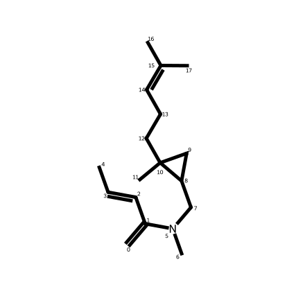 C=C(/C=C/C)N(C)CC1CC1(C)CCC=C(C)C